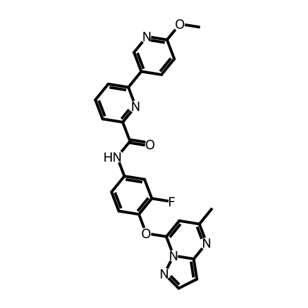 COc1ccc(-c2cccc(C(=O)Nc3ccc(Oc4cc(C)nc5ccnn45)c(F)c3)n2)cn1